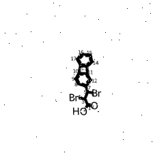 O=C(O)C(Br)C(Br)c1ccc2c(c1)-c1ccccc1-2